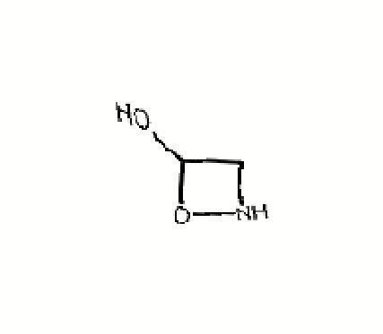 OC1CNO1